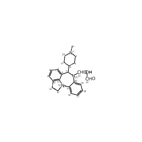 CN1CCC(C2c3cccc4c3N(CC4)c3ccccc3N2C=O)CC1.O=CO